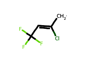 [CH2]C(Cl)=CC(F)(F)F